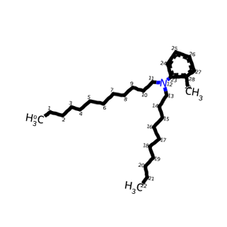 CCCCCCCCCCCCN(CCCCCCCCCC)c1ccccc1C